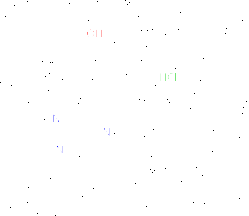 Cl.OCCc1nnc2ccc3ccccc3n12